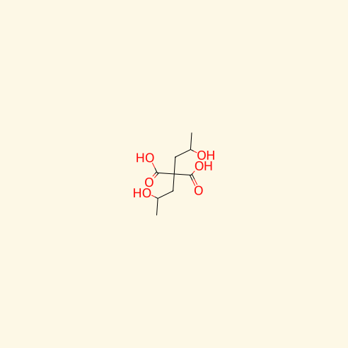 CC(O)CC(CC(C)O)(C(=O)O)C(=O)O